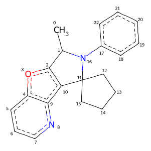 CC1c2oc3cccnc3c2C2(CCCC2)N1c1ccccc1